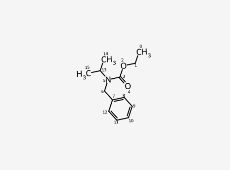 CCOC(=O)N(Cc1ccccc1)C(C)C